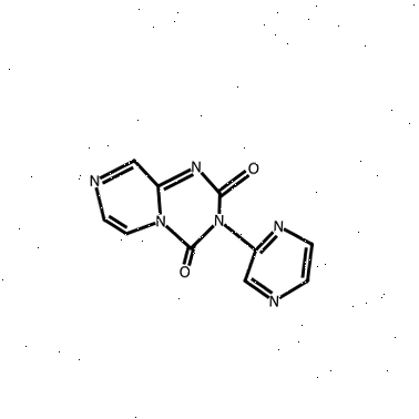 O=c1nc2cnccn2c(=O)n1-c1cnccn1